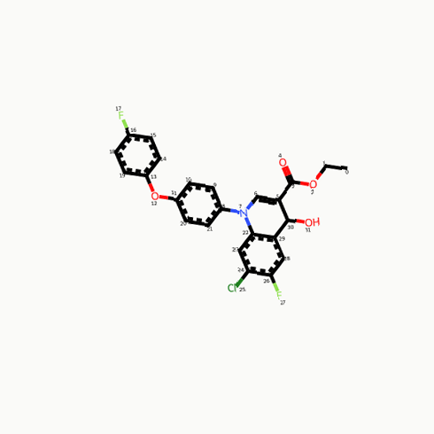 CCOC(=O)C1=CN(c2ccc(Oc3ccc(F)cc3)cc2)c2cc(Cl)c(F)cc2C1O